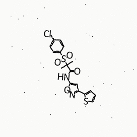 CC(C)(C(=O)Nc1cc(-c2cccs2)no1)S(=O)(=O)c1ccc(Cl)cc1